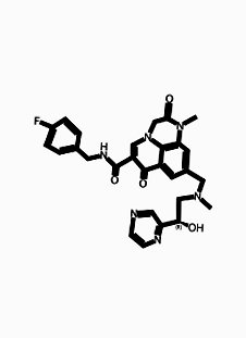 CN(Cc1cc2c3c(c1)c(=O)c(C(=O)NCc1ccc(F)cc1)cn3CC(=O)N2C)C[C@@H](O)c1cnccn1